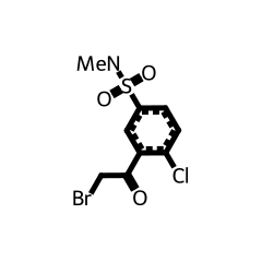 CNS(=O)(=O)c1ccc(Cl)c(C(=O)CBr)c1